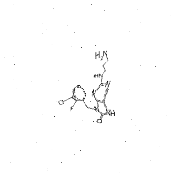 NCCCNc1ncc2[nH]c(=O)n(Cc3cccc(Cl)c3F)c2n1